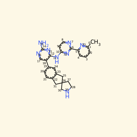 Cc1cccc(-c2nccc(Nc3nc(N)ncc3-c3ccc4c(c3)CC3(CCNC3)C4)n2)n1